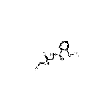 O=C(CNC(=O)c1ccccc1OC(F)(F)F)NCC(F)(F)F